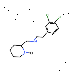 CCN1CCCCC1CNCCc1ccc(Cl)c(Cl)c1